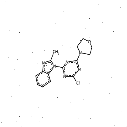 Cc1nc2ccccc2n1-c1nc(Cl)nc(N2CCOCC2)n1